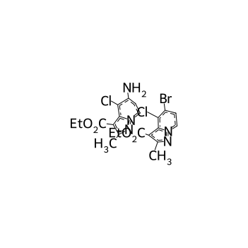 CCOC(=O)c1c(C)nn2ccc(Br)c(Cl)c12.CCOC(=O)c1c(C)nn2ccc(N)c(Cl)c12